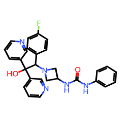 O=C(Nc1ccccc1)NC1CN(C(c2ccc(F)cc2)C(O)(c2cccnc2)c2cccnc2)C1